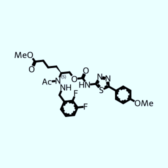 COC(=O)CCC[C@@H](COC(=O)Nc1nnc(-c2ccc(OC)cc2)s1)N(NCc1cccc(F)c1F)C(C)=O